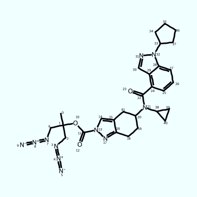 CC(CN=[N+]=[N-])(CN=[N+]=[N-])OC(=O)n1cc2c(n1)CCC(N(C(=O)c1cccc3c1cnn3C1CCCC1)C1CC1)C2